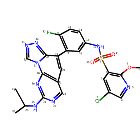 COc1ncc(Cl)cc1S(=O)(=O)Nc1ccc(F)c(-c2cc3cnc(NC(C)C)nc3n3cnnc23)c1